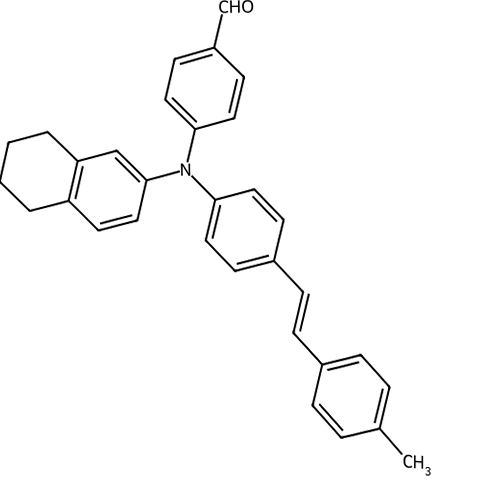 Cc1ccc(C=Cc2ccc(N(c3ccc(C=O)cc3)c3ccc4c(c3)CCCC4)cc2)cc1